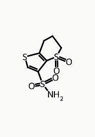 NS(=O)(=O)c1csc2c1S(=O)(=O)CCC2